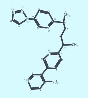 Cc1ccncc1-c1ccc(C(C)CCC(C)c2ccc(-n3ccnn3)cn2)nc1